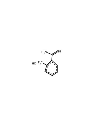 Cl.N=C(N)c1ccccc1C(F)(F)F